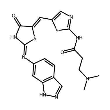 CN(C)CCC(=O)Nc1ncc(C=C2SC(=Nc3ccc4cn[nH]c4c3)NC2=O)s1